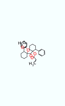 C=CC(=O)OC1(C(=O)C2(OC(=O)C=C)CCCCC2c2ccccc2)CCCCC1c1ccccc1